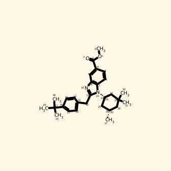 COC(=O)c1ccc2c(c1)nc(Cc1ccc(C(C)(C)C)cc1)n2[C@H]1C[C@@H](C)CC(C)(C)C1